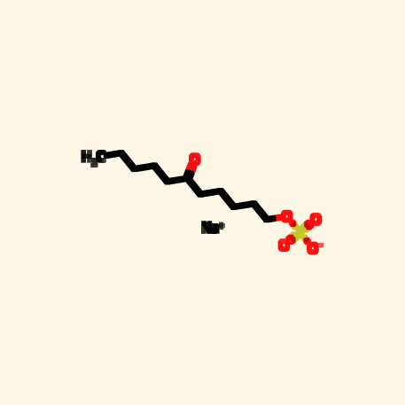 CCCCCC(=O)CCCCCOS(=O)(=O)[O-].[Na+]